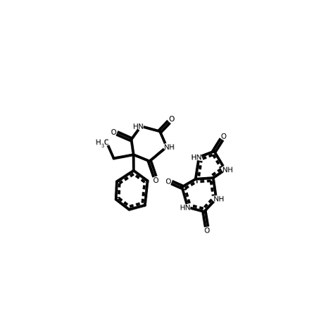 CCC1(c2ccccc2)C(=O)NC(=O)NC1=O.O=c1[nH]c(=O)c2[nH]c(=O)[nH]c2[nH]1